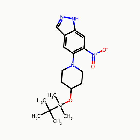 CC(C)(C)[Si](C)(C)OC1CCN(c2cc3cn[nH]c3cc2[N+](=O)[O-])CC1